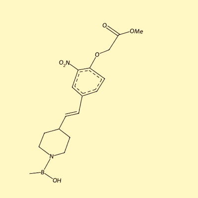 COC(=O)COc1ccc(C=CC2CCN(B(C)O)CC2)cc1[N+](=O)[O-]